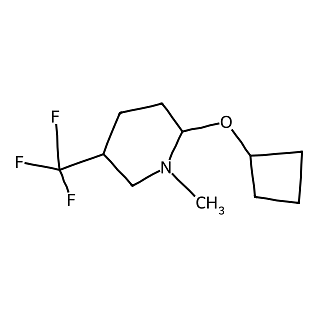 CN1CC(C(F)(F)F)CCC1OC1CCC1